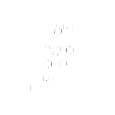 Nc1cc(CCC(NC(=O)C(c2ccccc2)c2ccc(O)cc2)C(=O)NCc2ccc(CC(=O)NCCO)cc2)ccn1